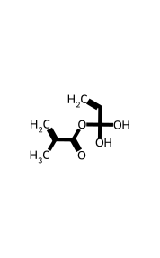 C=CC(O)(O)OC(=O)C(=C)C